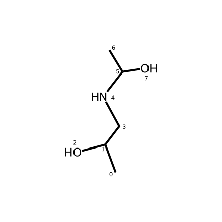 CC(O)CNC(C)O